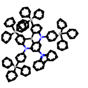 c1ccc([Si](c2ccccc2)(c2ccccc2)c2ccc(N3c4ccc([Si](c5ccccc5)(c5ccccc5)c5ccccc5)cc4B4c5cc([Si](c6ccccc6)(c6ccccc6)c6ccccc6)ccc5N(c5ccc([Si](c6ccccc6)(c6ccccc6)c6ccccc6)cc5)c5cc(-n6c7ccccc7c7ccccc76)cc3c54)cc2)cc1